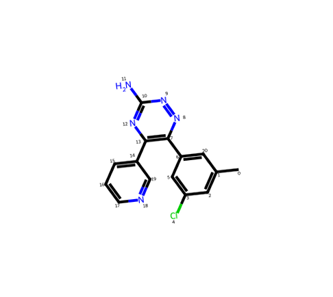 Cc1cc(Cl)cc(-c2nnc(N)nc2-c2cccnc2)c1